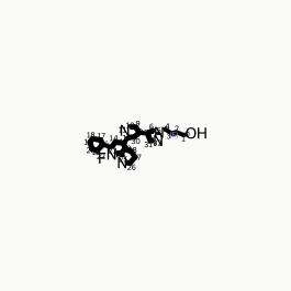 OC/C=C/Cn1cc(-c2ccnc(-c3cc(-c4ccccc4F)nc4ncccc34)c2)cn1